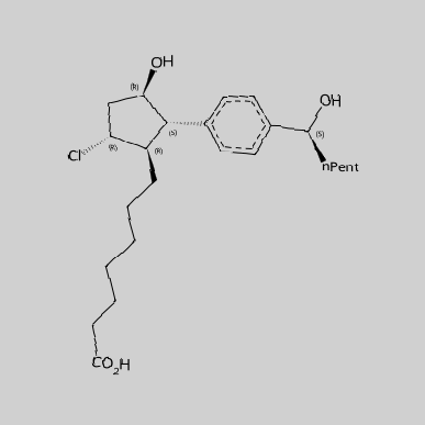 CCCCC[C@H](O)c1ccc([C@@H]2[C@@H](CCCCCCC(=O)O)[C@H](Cl)C[C@H]2O)cc1